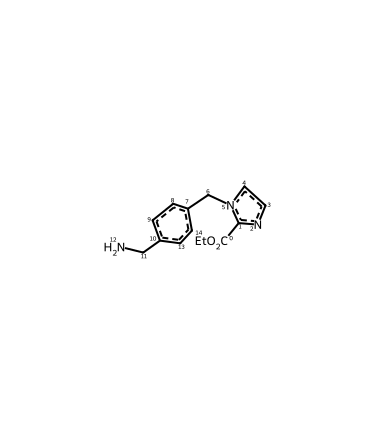 CCOC(=O)c1nccn1Cc1ccc(CN)cc1